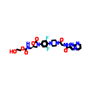 O=C(NC[C@H]1CN(c2cc(F)c(N3CCN(C(=O)CNC(=O)c4cn5cccnc5n4)CC3)c(F)c2)C(=O)O1)OCCO